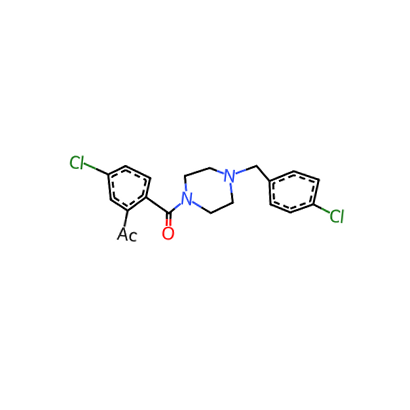 CC(=O)c1cc(Cl)ccc1C(=O)N1CCN(Cc2ccc(Cl)cc2)CC1